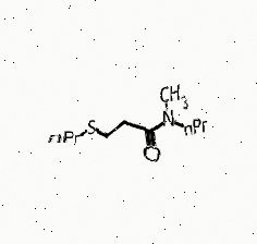 CCCSCCC(=O)N(C)CCC